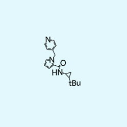 CC(C)(C)C1C[C@@H]1NC(=O)c1cccn1Cc1ccncc1